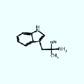 CCCC(C)(N)Cc1c[nH]c2ccccc12